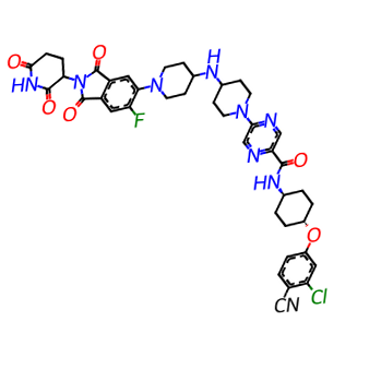 N#Cc1ccc(O[C@H]2CC[C@H](NC(=O)c3cnc(N4CCC(NC5CCN(c6cc7c(cc6F)C(=O)N(C6CCC(=O)NC6=O)C7=O)CC5)CC4)cn3)CC2)cc1Cl